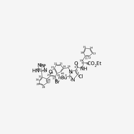 CCCCc1nc(Cl)c(C(=O)N[C@@H](Cc2ccccc2)C(=O)OCC)n1Cc1ccc2oc(-c3ccccc3-c3nnn[nH]3)c(Br)c2c1